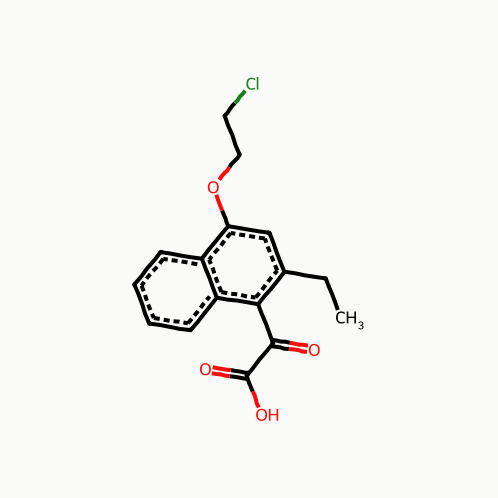 CCc1cc(OCCCl)c2ccccc2c1C(=O)C(=O)O